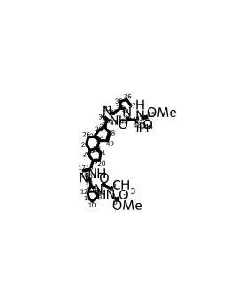 COC(=O)NC(C)C(=O)N1C2CCC(C2)C1c1ncc(-c2ccc3c(c2)CCc2cc(-c4cnc(C5CCCN5C(=O)C(NC(=O)OC)C(C)C)[nH]4)ccc2-3)[nH]1